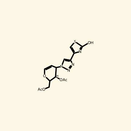 CC(=O)OCC1OC=CC(n2cc(-c3csc(O)n3)nn2)[C@H]1OC(C)=O